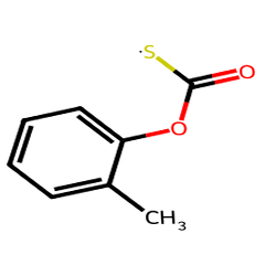 Cc1ccccc1OC(=O)[S]